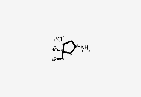 Cl.N[C@H]1CC[C@](O)(CF)C1